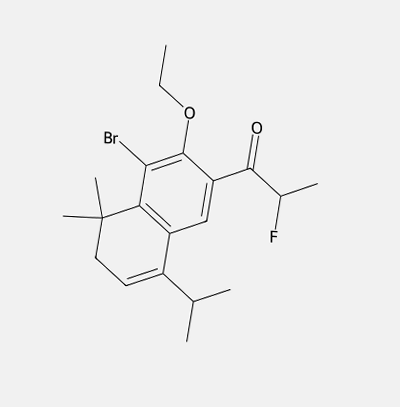 CCOc1c(C(=O)C(C)F)cc2c(c1Br)C(C)(C)CC=C2C(C)C